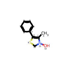 CC1=C(c2ccccc2)S[CH]N1O